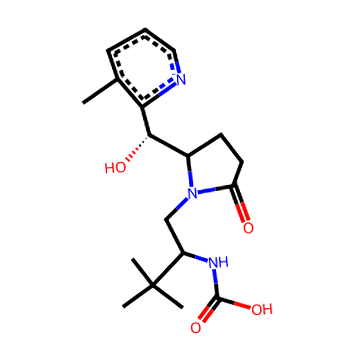 Cc1cccnc1[C@@H](O)C1CCC(=O)N1CC(NC(=O)O)C(C)(C)C